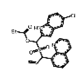 C=CC(c1cccc2cccnc12)S(=O)(=O)C(OC(=O)CC)c1cc2cc(Cl)ccc2[nH]1